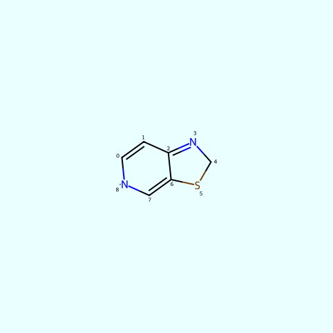 C1=CC2=NCSC2=C[N]1